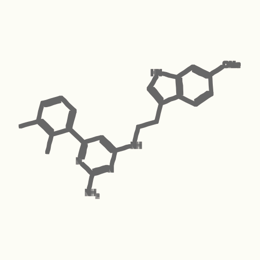 COc1ccc2c(CCNc3cc(-c4cccc(C)c4C)nc(N)n3)c[nH]c2c1